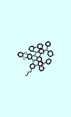 CCCCc1ccc(N2c3cc4c(cc3B3c5c(cc(N(c6ccccc6)c6ccccc6)cc52)-c2cc(N(c5ccccc5)c5ccccc5)ccc2N3c2ccccc2-c2ccccc2)Oc2ccccc2O4)c(-c2ccccc2)c1